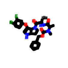 CC(C(=O)NC(C(=O)N1CCC2NC=C(Oc3ccc(F)c(F)c3)C21)C(C)(C)C)N(C)C(=O)OCc1ccccc1